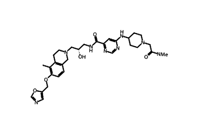 CNC(=O)CN1CCC(Nc2cc(C(=O)NC[C@H](O)CN3CCc4c(ccc(OCc5cnco5)c4C)C3)ncn2)CC1